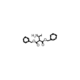 N[C@@H](I)C(C(=O)OCc1ccccc1)C(=O)OCc1ccccc1